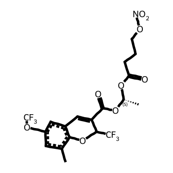 Cc1cc(OC(F)(F)F)cc2c1OC(C(F)(F)F)C(C(=O)O[C@@H](C)OC(=O)CCCO[N+](=O)[O-])=C2